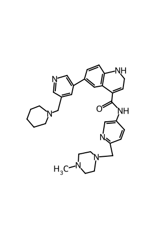 CN1CCN(Cc2ccc(NC(=O)C3=CCNc4ccc(-c5cncc(CN6CCCCC6)c5)cc43)cn2)CC1